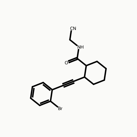 N#CCNC(=O)C1CCCCC1C#Cc1ccccc1Br